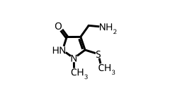 CSc1c(CN)c(=O)[nH]n1C